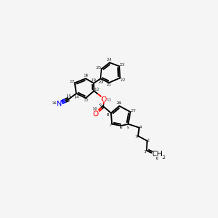 C=CCCCc1ccc(C(=O)Oc2cc(C#N)ccc2-c2ccccc2)cc1